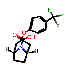 O=C(O)N1[C@@H]2CC[C@H]1C[C@@H](Oc1ccc(C(F)(F)F)cc1)C2